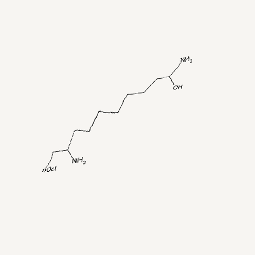 CCCCCCCCCC(N)CCCCCCCC(N)O